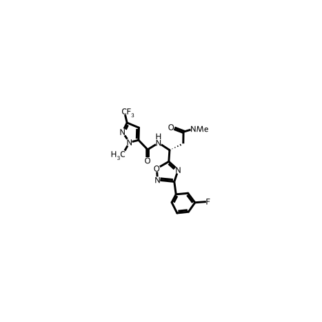 CNC(=O)C[C@@H](NC(=O)c1cc(C(F)(F)F)nn1C)c1nc(-c2cccc(F)c2)no1